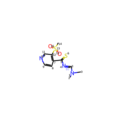 CN(C)/C=N/C(=S)c1ccncc1S(C)(=O)=O